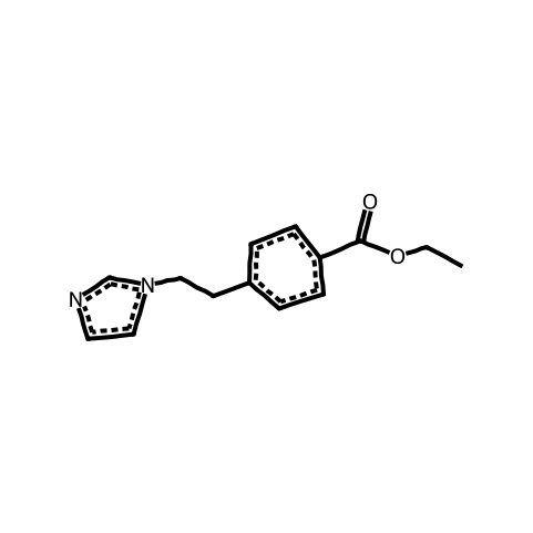 CCOC(=O)c1ccc(CCn2ccnc2)cc1